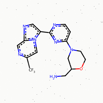 NCC1CN(c2ccnc(-c3cnc4cnc(C(F)(F)F)cn34)n2)CCO1